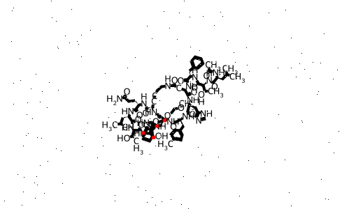 COCCOCCNC(=O)[C@H](CO)NC(=O)[C@@H](NC(=O)[C@H](CC(C)C)NC(=O)[C@H](CCC(N)=O)NC(=O)[C@@H]1CCCCNC(=O)C[C@H](NC(=O)[C@H](Cc2ccccc2)NC(=O)[C@@H](NC(=O)[C@H](CC(C)C)NC(C)=O)C(C)O)C(=O)N[C@@H](Cc2cnc[nH]2)C(=O)N[C@@H](Cc2ccc(C)cc2)C(=O)N[C@@H](Cc2c[nH]c3ccccc23)C(=O)N1)[C@@H](C)O